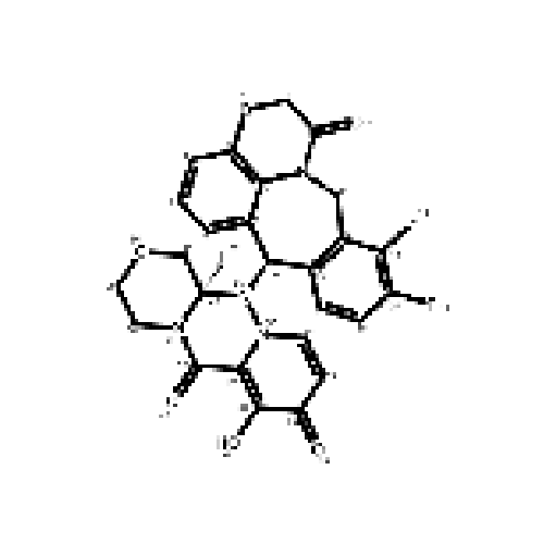 O=C1COc2cccc3c2N1Cc1c(ccc(F)c1F)[C@H]3N1[C@@H]2COCCN2C(=O)c2c(O)c(=O)ccn21